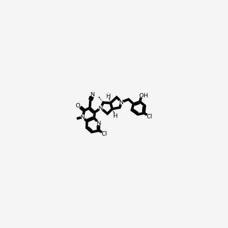 C[C@@H]1[C@H]2CN(Cc3ccc(Cl)cc3O)C[C@H]2CN1c1c(C#N)c(=O)n(C)c2ccc(Cl)nc12